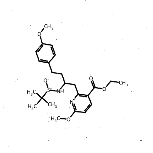 CCOC(=O)c1ccc(OC)nc1CC(CCc1ccc(OC)cc1)N[S+]([O-])C(C)(C)C